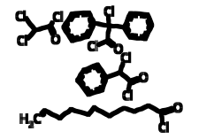 C=CCCCCCCCCC(=O)Cl.O=C(Cl)C(Cl)(c1ccccc1)c1ccccc1.O=C(Cl)C(Cl)Cl.O=C(Cl)C(Cl)c1ccccc1